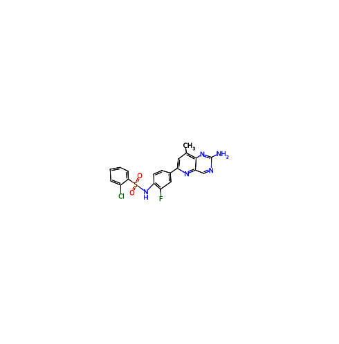 Cc1cc(-c2ccc(NS(=O)(=O)c3ccccc3Cl)c(F)c2)nc2cnc(N)nc12